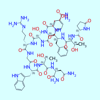 C[C@@H](O)[C@H](NC(=O)[C@H](Cc1c[nH]c2ccccc12)NC(=O)CNC(=O)[C@H](CCCN=C(N)N)NC(=O)[C@H](CO)NC(=O)[C@H](Cc1ccc(O)cc1)NC(=O)[C@H](CCC(N)=O)NC(=O)[C@H](Cc1ccccc1)NC(=O)[C@@H](NC(=O)[C@@H]1CCC(=O)N1)[C@@H](C)O)C(=O)N[C@@H](CC(N)=O)C(N)=O